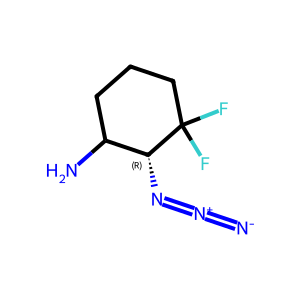 [N-]=[N+]=N[C@@H]1C(N)CCCC1(F)F